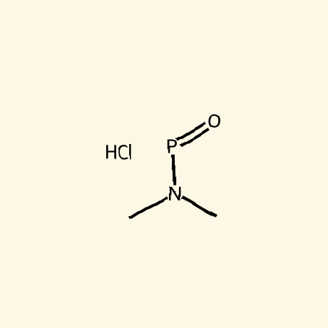 CN(C)P=O.Cl